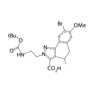 COc1cc2c(cc1Br)-c1nn(CCNC(=O)OC(C)(C)C)c(C(=O)O)c1C(C)C2